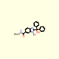 CCn1c(C(O)(c2ccccc2)c2ccccc2)nc2ccc(C(=O)NOC)cc21